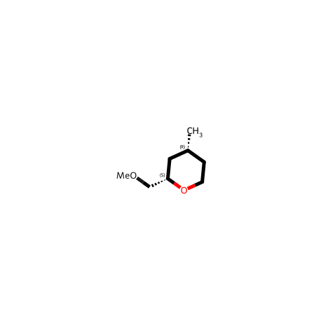 COC[C@@H]1C[C@H](C)CCO1